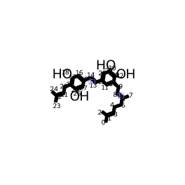 CC(C)=CCC/C(C)=C/Cc1cc(/C=C/c2cc(O)c(CC=C(C)C)c(O)c2)cc(O)c1O